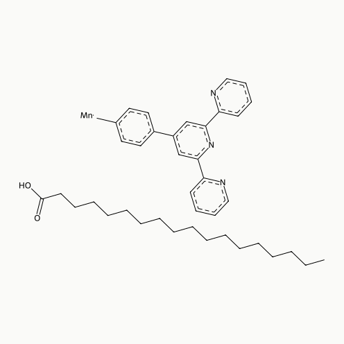 CCCCCCCCCCCCCCCCCC(=O)O.Cc1ccc(-c2cc(-c3ccccn3)nc(-c3ccccn3)c2)cc1.[Mn]